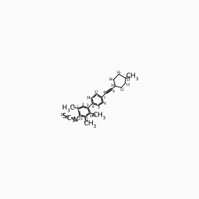 Cc1cc(-c2ccc(C#CC3CCC(C)CC3)cc2)c(C)c(C)c1N=C=S